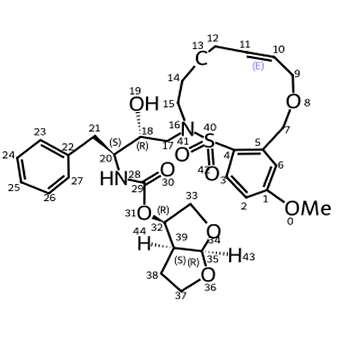 COc1ccc2c(c1)COC/C=C/CCCCN(C[C@@H](O)[C@H](Cc1ccccc1)NC(=O)O[C@H]1CO[C@H]3OCC[C@H]31)S2(=O)=O